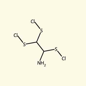 NC(SCl)C(SCl)SCl